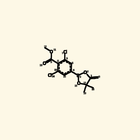 C=C1OB(c2cc(Cl)c(C(=O)OC)c(Cl)c2)OC1(C)C